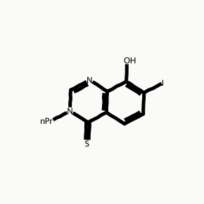 CCCn1cnc2c(O)c(I)ccc2c1=S